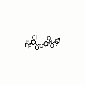 CC1C2C=CC(C3CC23)C1C(=O)N(C=O)c1ccc(OCC(=O)c2cc(Cl)cc(C(F)(F)F)c2)cc1